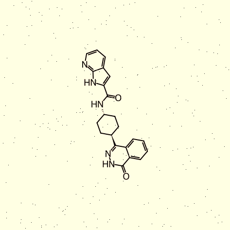 O=C(N[C@H]1CC[C@H](c2n[nH]c(=O)c3ccccc32)CC1)c1cc2cccnc2[nH]1